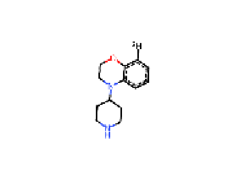 [2H]c1cccc2c1OCCN2C1CCNCC1